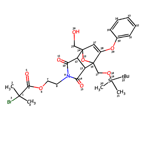 CC(C)(Br)C(=O)OCCN1C(=O)C2C(C1=O)C1(CO[Si](C)(C)C(C)(C)C)OC2(CO)C=C1Oc1ccccc1